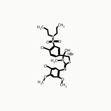 Br.CCCN(CCC)S(=O)(=O)c1cc(C2(O)CS/C(=N/c3cc(Cl)c(OC)cc3OC)N2C)ccc1Cl